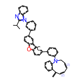 C=C1/C=C\C=C/CN(c2cccc(-c3ccc4oc5ccc(-c6cccc(-n7c(C(C)C)nc8ccccc87)c6)cc5c4c3)c2)c2ccccc21